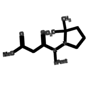 CCCCCN(C(=O)CC(=O)OC)N1CCCC1(C)C(=O)O